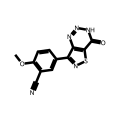 COc1ccc(-c2nsc3c(=O)[nH]nnc23)cc1C#N